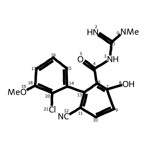 CNC(=N)NC(=O)c1c(O)ccc(C#N)c1-c1cccc(OC)c1Cl